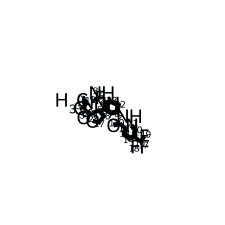 CN1C(=N)NC2(c3cc(NC(=O)c4ccc(C(F)(F)F)cn4)ccc3F)CCOC2S1(=O)=O